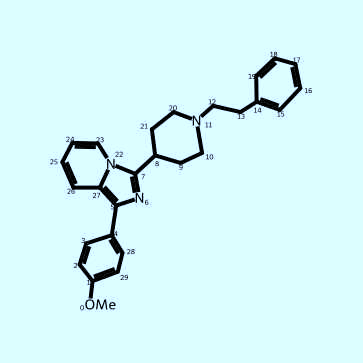 COc1ccc(-c2nc(C3CCN(CCc4ccccc4)CC3)n3ccccc23)cc1